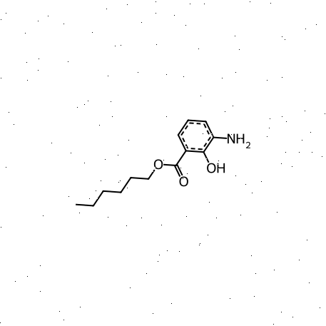 CCCCCCOC(=O)c1cccc(N)c1O